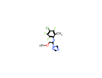 CCCOCC(=Nc1c(C)c(F)c(Cl)c(F)c1F)n1cncn1